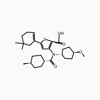 CO[C@H]1CC[C@H](N(c2cc(C3=CCCC(C)(C)C3)sc2C(=O)O)C(=O)[C@H]2CC[C@H](C)CC2)CC1